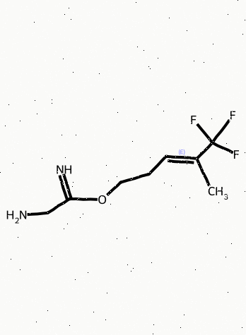 C/C(=C\CCOC(=N)CN)C(F)(F)F